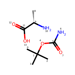 CC(C)(C)OC(N)=O.C[C@H](N)C(=O)O